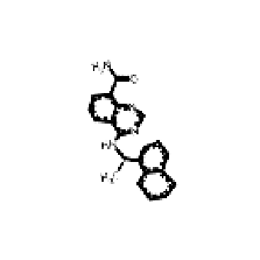 C[C@@H](Nc1ncnc2c(C(N)=O)cccc12)c1cccc2ccccc12